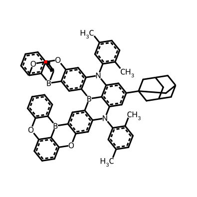 Cc1ccc(C)c(N2c3cc4c(cc3B3c5cc6c(cc5N(c5cc(C)ccc5C)c5cc(C78CC9CC(CC(C9)C7)C8)cc2c53)Oc2cccc3c2B6c2ccccc2O3)B2c3ccccc3Oc3cccc(c32)O4)c1